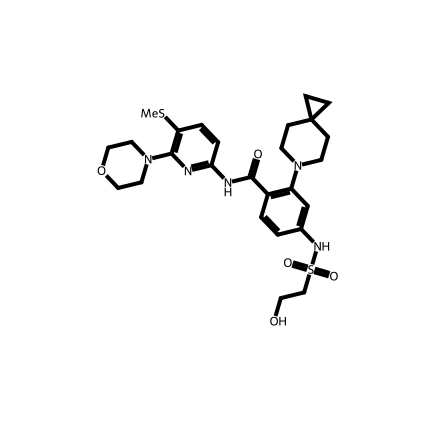 CSc1ccc(NC(=O)c2ccc(NS(=O)(=O)CCO)cc2N2CCC3(CC2)CC3)nc1N1CCOCC1